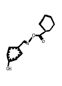 O=C(ON=Cc1ccc(O)cc1)C1CCCCC1